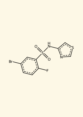 O=S(=O)(Nc1cscn1)c1cc(Br)ccc1F